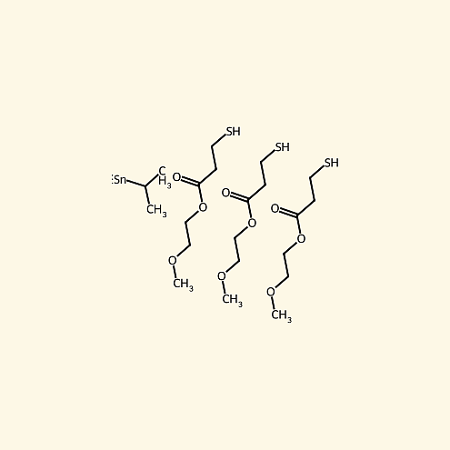 COCCOC(=O)CCS.COCCOC(=O)CCS.COCCOC(=O)CCS.C[CH](C)[Sn]